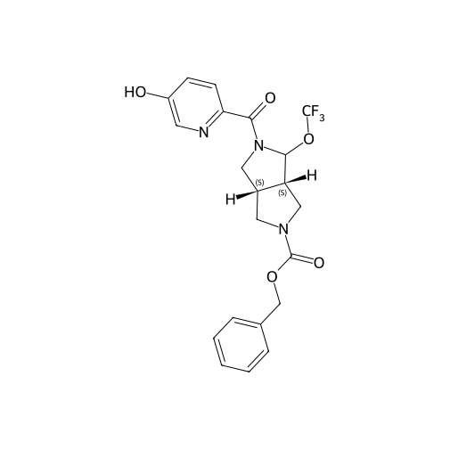 O=C(OCc1ccccc1)N1C[C@@H]2CN(C(=O)c3ccc(O)cn3)C(OC(F)(F)F)[C@@H]2C1